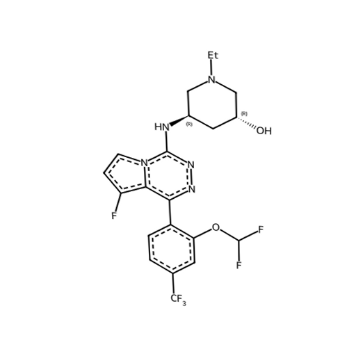 CCN1C[C@H](O)C[C@@H](Nc2nnc(-c3ccc(C(F)(F)F)cc3OC(F)F)c3c(F)ccn23)C1